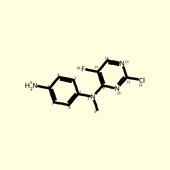 CN(c1ccc(N)cc1)c1nc(Cl)ncc1F